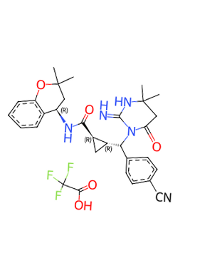 CC1(C)CC(=O)N(C(c2ccc(C#N)cc2)[C@@H]2C[C@H]2C(=O)N[C@@H]2CC(C)(C)Oc3ccccc32)C(=N)N1.O=C(O)C(F)(F)F